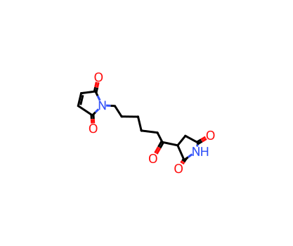 O=C1CC(C(=O)CCCCCN2C(=O)C=CC2=O)C(=O)N1